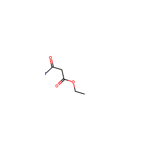 CCOC(=O)CC(=O)I